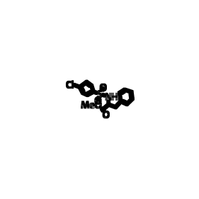 COC(=O)C(Cc1ccccc1)NS(=O)(=O)c1ccc(Cl)cc1